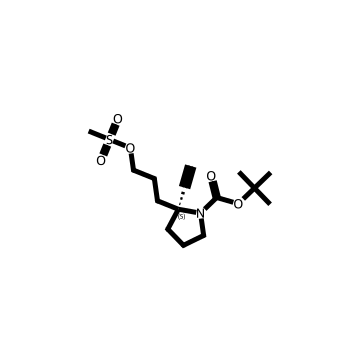 C#C[C@@]1(CCCOS(C)(=O)=O)CCCN1C(=O)OC(C)(C)C